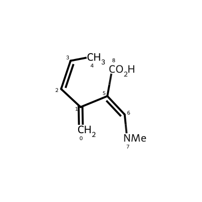 C=C(/C=C\C)/C(=C\NC)C(=O)O